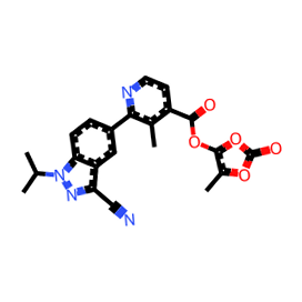 Cc1oc(=O)oc1OC(=O)c1ccnc(-c2ccc3c(c2)c(C#N)nn3C(C)C)c1C